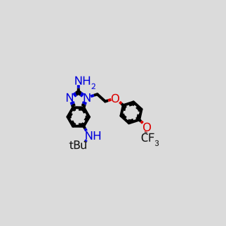 CC(C)(C)Nc1ccc2nc(N)n(CCOc3ccc(OC(F)(F)F)cc3)c2c1